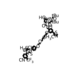 Cc1ncsc1-c1ccc(CNC(=O)[C@@H]2C[C@@H](O)CN2C(=O)[C@@H](NC(=O)C(C)(C)C)C(C)(C)C)c(OCCOCCOCCOc2ccc(N3C(=S)N(c4ccc(C#N)c(C(F)(F)F)c4)C(=O)C3(C)C)cc2)c1